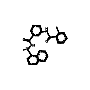 Cc1ccccc1C(=O)Nc1cccc(C(=O)N[C@@H](C)c2cccc3ccccc23)c1